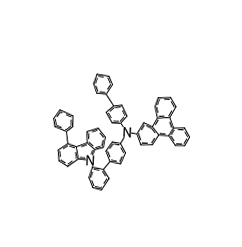 c1ccc(-c2ccc(N(c3ccc(-c4ccccc4-n4c5ccccc5c5c(-c6ccccc6)cccc54)cc3)c3ccc4c5ccccc5c5ccccc5c4c3)cc2)cc1